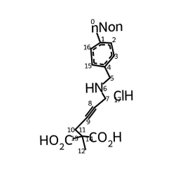 CCCCCCCCCc1ccc(CNCC#CCC(C)(C(=O)O)C(=O)O)cc1.Cl